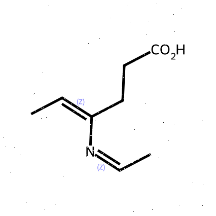 C/C=N\C(=C/C)CCC(=O)O